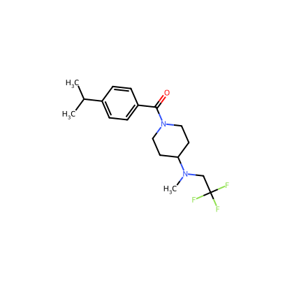 CC(C)c1ccc(C(=O)N2CCC(N(C)CC(F)(F)F)CC2)cc1